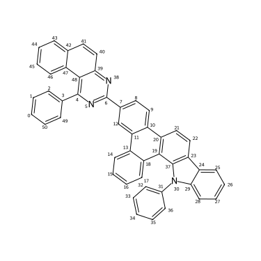 c1ccc(-c2nc(-c3ccc4c(c3)c3ccccc3c3c4ccc4c5ccccc5n(-c5ccccc5)c43)nc3ccc4ccccc4c23)cc1